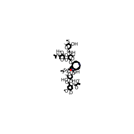 C=C(OC)C(=O)Nc1cc(OC)c(OC)cc1C(=O)O[C@H]1CC(O[C@@H]2C(=O)C=C3/C(=C\CSSSC)[C@]2(O)C#C/C=C\C#C[C@@H]3O[C@@H]2O[C@H](C)[C@@H](NOC3C[C@H](O)[C@H](SC)[C@@H](C)O3)[C@H](O)[C@H]2O[C@H]2C[C@H](OC)[C@@H](NC(C)C)CO2)O[C@@H](C)C1O